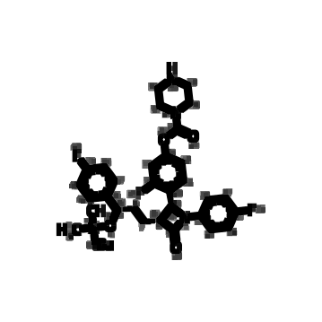 CC(C)(C)[Si](C)(C)O[C@@H](CC[C@H]1C(=O)N(c2ccc(F)cc2)[C@@H]1c1ccc(OC(=O)N2CCNCC2)cc1F)c1ccc(F)cc1